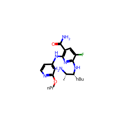 CCCC[C@@H](Nc1nc(Nc2ccnc(OCCC)c2)c(C(N)=O)cc1F)[C@H](C)N